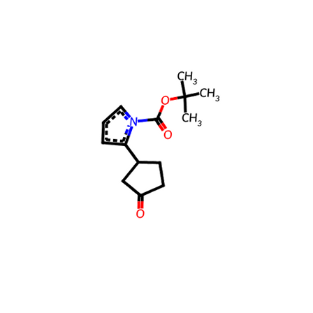 CC(C)(C)OC(=O)n1cccc1C1CCC(=O)C1